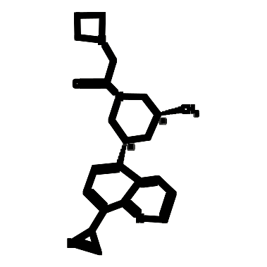 C[C@@H]1C[C@H](c2ccc(C3C=N3)c3ncccc23)CN(C(=O)CN2CCC2)C1